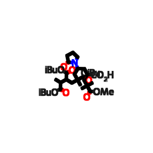 COC(=O)C(C)(C)CC(CC(CC(C)(CC(C(=O)OCC(C)C)C(C)C(=O)OCC(C)C)C(=O)OCC(C)C)N1CCCC1=O)C(=O)O